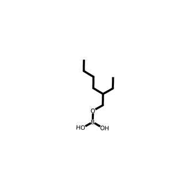 CCCCC(CC)COB(O)O